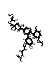 CCOc1ccc(Cl)c(-c2ncc(C(=O)N[C@@H](CC(=O)OC)C(C)(C)C)nc2-c2ccc(Cl)c(OCCCN(C)C)c2)c1